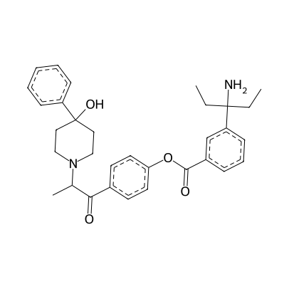 CCC(N)(CC)c1cccc(C(=O)Oc2ccc(C(=O)C(C)N3CCC(O)(c4ccccc4)CC3)cc2)c1